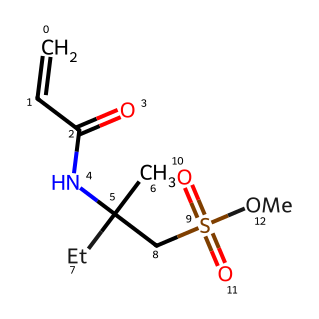 C=CC(=O)NC(C)(CC)CS(=O)(=O)OC